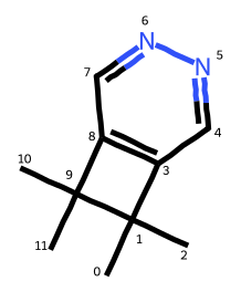 CC1(C)c2cnncc2C1(C)C